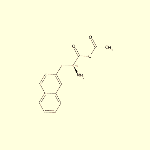 CC(=O)OC(=O)[C@@H](N)Cc1ccc2ccccc2c1